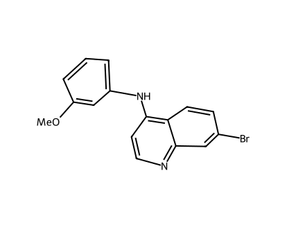 COc1cccc(Nc2ccnc3cc(Br)ccc23)c1